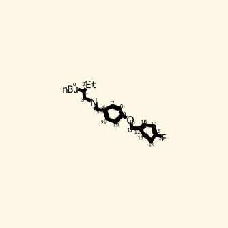 CCCCC(CC)C/N=C/c1ccc(OCc2ccc(F)cc2)cc1